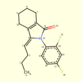 CCCC=C1C2=C(CCCC2)C(=O)N1c1ccc(F)cc1F